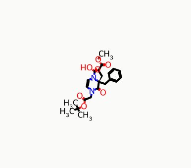 COC(=O)CC[C@@]1(Cc2ccccc2)C(=O)N(CC(=O)OC(C)(C)C)C=CN1C(=O)O